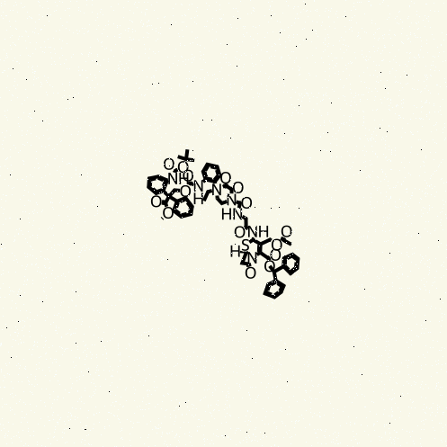 CC[N+]1(c2ccccc2NC(=O)OCC(C(=O)OC)(c2ccccc2)c2ccccc2NC(=O)OC(C)(C)C)CCN(C(=O)NCC(=O)N[C@@H]2S[C@H]3CC(=O)N3C(C(=O)OC(c3ccccc3)c3ccccc3)=C2COC(C)=O)C(=O)C1=O